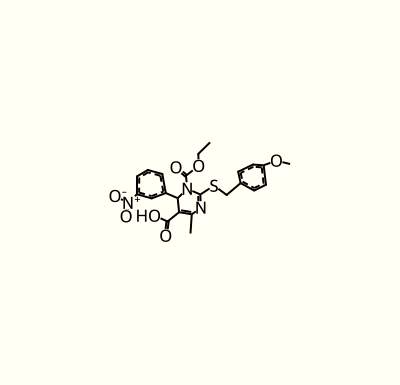 CCOC(=O)N1C(SCc2ccc(OC)cc2)=NC(C)=C(C(=O)O)C1c1cccc([N+](=O)[O-])c1